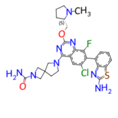 CN1CCC[C@H]1COc1nc(N2CCC3(CN(C(N)=O)C3)C2)c2cc(Cl)c(-c3cccc4sc(N)nc34)c(F)c2n1